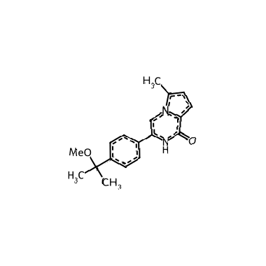 COC(C)(C)c1ccc(-c2cn3c(C)ccc3c(=O)[nH]2)cc1